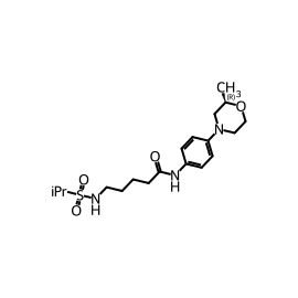 CC(C)S(=O)(=O)NCCCCC(=O)Nc1ccc(N2CCO[C@H](C)C2)cc1